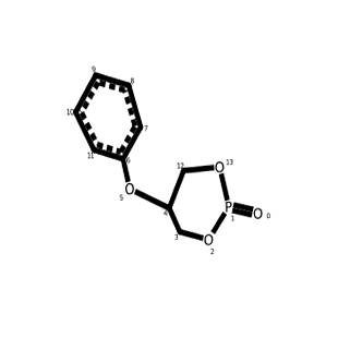 O=[P]1OCC(Oc2ccccc2)CO1